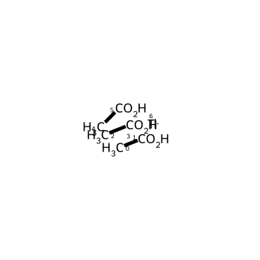 CC(=O)O.CC(=O)O.CC(=O)O.[Tl]